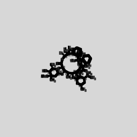 CC[C@H]1OC(=O)[C@H](C)[C@@H](O[C@H]2C[C@@](C)(OC)[C@@H](O)[C@H](C)O2)[C@H](C)[C@@H](O[C@@H]2O[C@H](C)C[C@H](N(C)C)[C@H]2OC(=O)[C@@H](C)O[Si](c2ccccc2)(c2ccccc2)C(C)(C)C)[C@](C)(O)C[C@@H](C)CN(C)[C@H](C)[C@@H](O)[C@]1(C)O